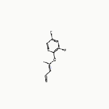 C=C/C=C(\C)Oc1ccc(F)cc1F